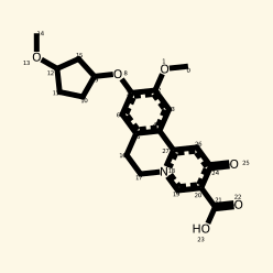 COc1cc2c(cc1OC1CCC(OC)C1)CCn1cc(C(=O)O)c(=O)cc1-2